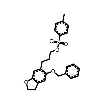 Cc1ccc(S(=O)(=O)OCCCc2cc3c(cc2OCc2ccccc2)CCO3)cc1